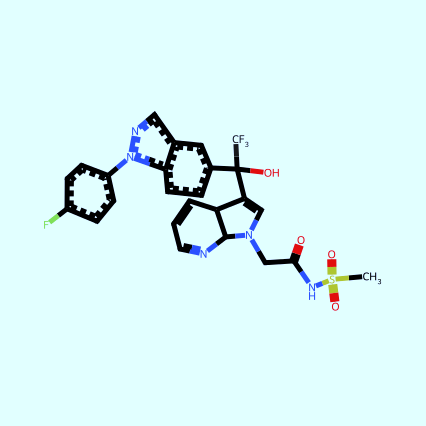 CS(=O)(=O)NC(=O)CN1C=C(C(O)(c2ccc3c(cnn3-c3ccc(F)cc3)c2)C(F)(F)F)C2C=CC=NC21